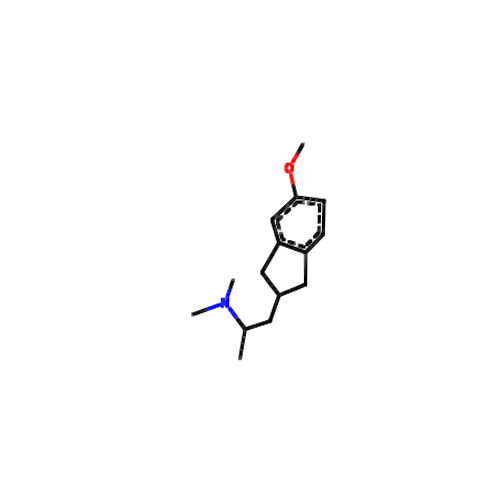 COc1ccc2c(c1)CC(CC(C)N(C)C)C2